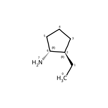 CC[C@@H]1CCC[C@H]1N